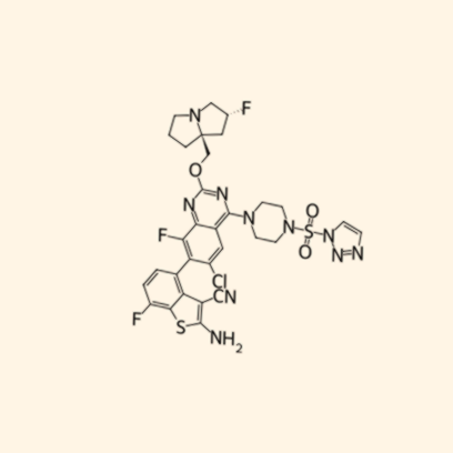 N#Cc1c(N)sc2c(F)ccc(-c3c(Cl)cc4c(N5CCN(S(=O)(=O)n6ccnn6)CC5)nc(OC[C@@]56CCCN5C[C@H](F)C6)nc4c3F)c12